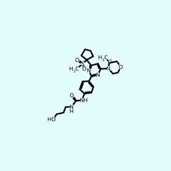 C[C@H]1COCCN1c1cc(C2(S(C)(=O)=O)CCCC2)nc(-c2ccc(NC(=O)NCCCO)cc2)n1